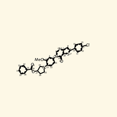 COc1cc(-n2cnc3cc(-c4ccc(Cl)cc4)sc3c2=O)ccc1N1CCC(OC(=O)c2ccccc2)C1